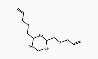 C=CCSCC1[Se]C[Se]C(CSCC=C)[Se]1